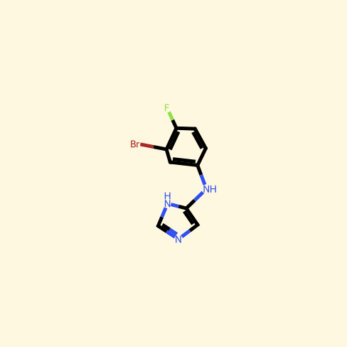 Fc1ccc(Nc2cnc[nH]2)cc1Br